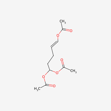 CC(=O)O/C=C/CCC(OC(C)=O)OC(C)=O